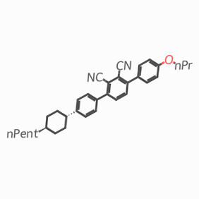 CCCCC[C@H]1CC[C@H](c2ccc(-c3ccc(-c4ccc(OCCC)cc4)c(C#N)c3C#N)cc2)CC1